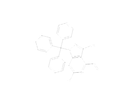 Cc1nn(C(c2ccccc2)(c2ccccc2)c2ccccc2)c2cc(Cl)nc(C=O)c12